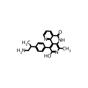 Cc1nc(O)c(-c2ccc(C(C)CN)cc2)c2c1[nH]c(=O)c1cccnc12